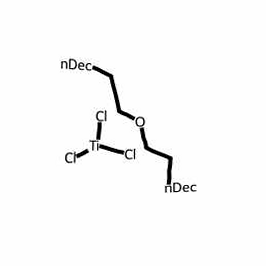 CCCCCCCCCCCCOCCCCCCCCCCCC.[Cl][Ti]([Cl])[Cl]